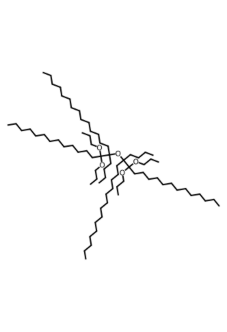 CCCCCCCCCCCCCCC(CCCC)(OC(CCCC)(CCCCCCCCCCCCCC)C(CCCCCCCCCCCCC)(OCCC)OCCC)C(CCCCCCCCCCCCC)(OCCC)OCCC